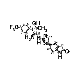 CC(O)[C@@H](c1ccc(C(F)(F)F)cc1)[C@H](N)CNc1ncc(-c2ccc3c(c2)CC(=O)N3)s1